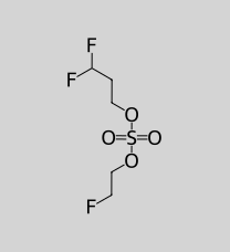 O=S(=O)(OCCF)OCCC(F)F